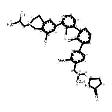 COc1nc(-c2cccc(-c3ccnc(-c4cc(Cl)c5c(c4)CCN(CC(C)O)C5)c3Cl)c2Cl)ccc1CN(C[C@@H]1CCC(=O)N1)C(=O)O